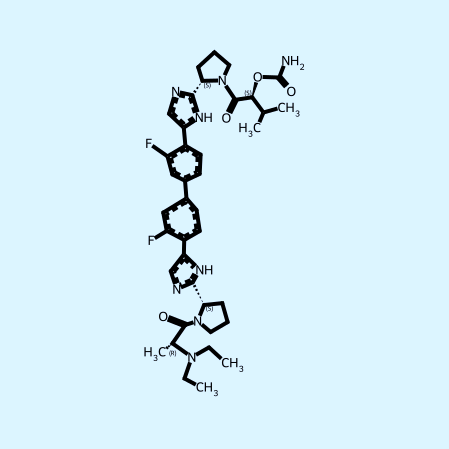 CCN(CC)[C@H](C)C(=O)N1CCC[C@H]1c1ncc(-c2ccc(-c3ccc(-c4cnc([C@@H]5CCCN5C(=O)[C@@H](OC(N)=O)C(C)C)[nH]4)c(F)c3)cc2F)[nH]1